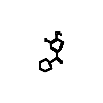 Cc1ccc(C(=O)N2CCCCC2)cc1F